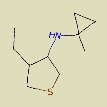 CCC1CSCC1NC1(C)CC1